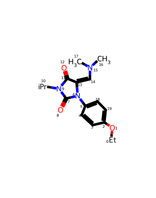 CCOc1ccc(N2C(=O)N(C(C)C)C(=O)C2=CN(C)C)cc1